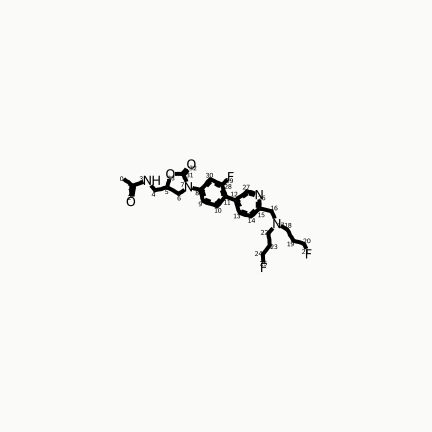 CC(=O)NCC1CN(c2ccc(-c3ccc(CN(CCCF)CCCF)nc3)c(F)c2)C(=O)O1